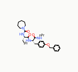 CCCNC(=O)[C@H](Cc1ccc(OCc2ccccc2)cc1)NC(=O)[C@H](CC(C)C)NC(=O)N1CCCCCC1